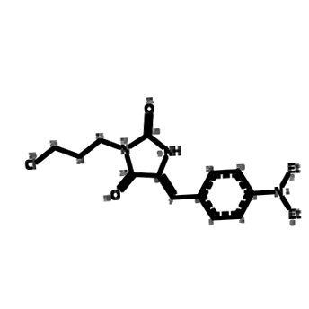 CCN(CC)c1ccc(/C=C2\NC(=O)N(CCCCl)C2=O)cc1